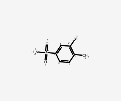 Cc1ccc(S(N)(=O)=O)cc1Br